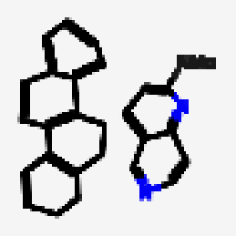 C1=CC2=C(CC1)CCc1c2ccc2ccccc12.CNc1ccc2cnccc2n1